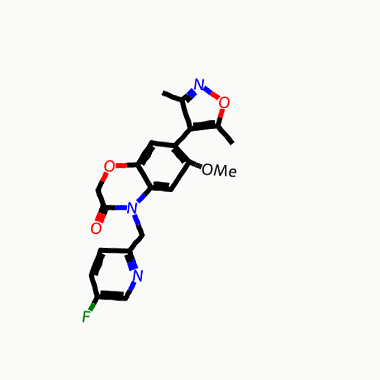 COc1cc2c(cc1-c1c(C)noc1C)OCC(=O)N2Cc1ccc(F)cn1